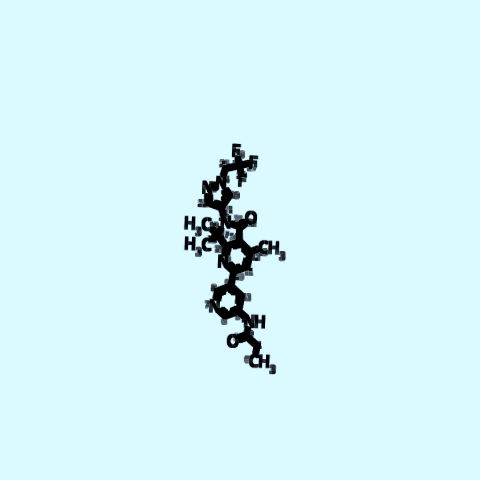 CCC(=O)Nc1cncc(-c2cc(C)c3c(n2)C(C)(C)N(c2cnn(CC(F)(F)F)c2)C3=O)c1